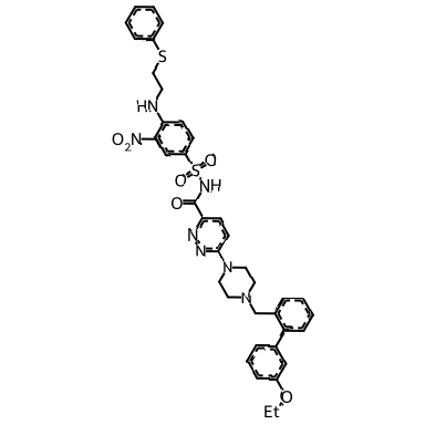 CCOc1cccc(-c2ccccc2CN2CCN(c3ccc(C(=O)NS(=O)(=O)c4ccc(NCCSc5ccccc5)c([N+](=O)[O-])c4)nn3)CC2)c1